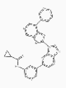 O=C(Nc1cncc(-c2cnc3[nH]nc(-c4nc5c(-c6cccnc6)cncc5[nH]4)c3c2)c1)C1CC1